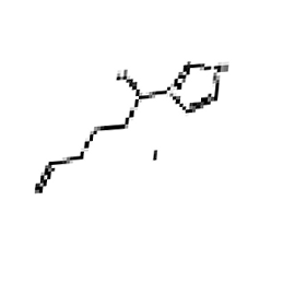 C=CCCCC(CC)[n+]1cc[nH]c1.[I-]